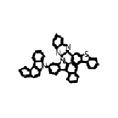 c1ccc2c(c1)ccc1c2c2ccccc2n1-c1ccc2c3c4ccccc4ccc3n(-c3nc4ccccc4nc3-c3ccc4c(c3)sc3ccccc34)c2c1